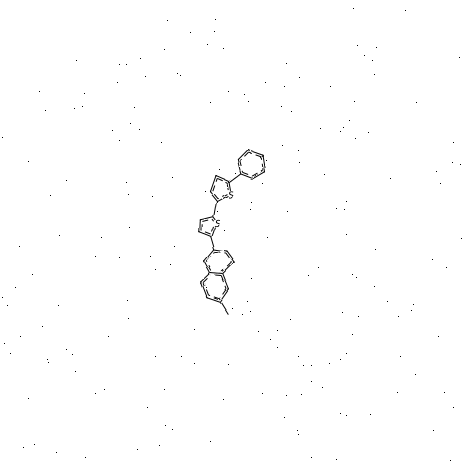 Cc1ccc2cc(-c3ccc(-c4ccc(-c5ccccc5)s4)s3)ccc2c1